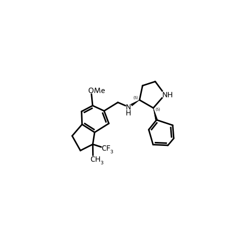 COc1cc2c(cc1CN[C@H]1CCN[C@H]1c1ccccc1)C(C)(C(F)(F)F)CC2